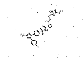 Cc1ccc(-c2cc(C(F)(F)F)nn2-c2ccc(S(=O)(=O)NC(=O)[C@@H]3CCN3[N+]([O-])=NOC(C)OC(=O)OC(C)C)cc2)cc1